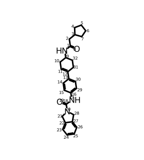 O=C(CC1CCCC1)NC1CC=C(c2ccc(NC(=O)N3Cc4ccccc4C3)cc2)CC1